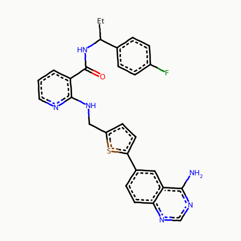 CCC(NC(=O)c1cccnc1NCc1ccc(-c2ccc3ncnc(N)c3c2)s1)c1ccc(F)cc1